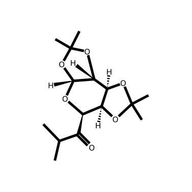 CC(C)C(=O)[C@H]1O[C@@H]2OC(C)(C)O[C@@H]2[C@H]2OC(C)(C)O[C@H]21